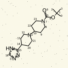 CC(C)(C)OC(=O)N1CCC(N2CCC(c3nnc[nH]3)CC2)CC1